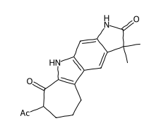 CC(=O)C1CCCc2c([nH]c3cc4c(cc23)C(C)(C)C(=O)N4)C1=O